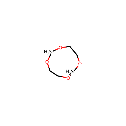 C1CO[SiH2]OCCO[SiH2]O1